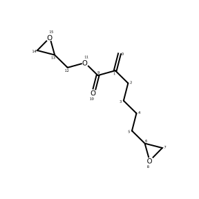 C=C(CCCCC1CO1)C(=O)OCC1CO1